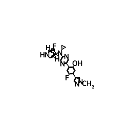 Cn1cc(-c2cc(O)c(-c3cnc(N(C4CC4)[C@@H]4[C@H]5CN[C@H](C5)[C@H]4F)cn3)cc2F)cn1